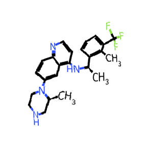 Cc1c([C@@H](C)Nc2ccnc3ccc(N4CCNC[C@@H]4C)cc23)cccc1C(F)(F)F